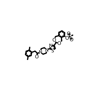 Cc1ccc(C)c(CC(=O)N2CCN(c3nc(C4OCc5cccc(OS(C)(=O)=O)c5CO4)cs3)CC2)c1